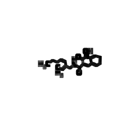 C/C=C(\C=C/CCC)CNC(=O)c1cc2ccccc2n(O)c1=O